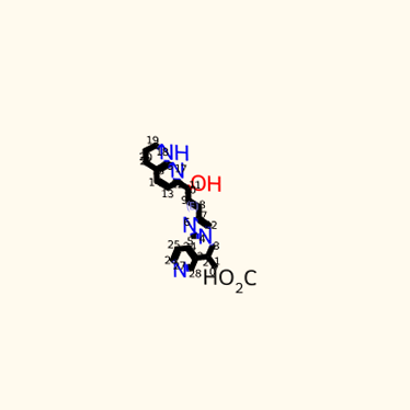 O=C(O)CC(Cn1cnc(/C=C/C(O)c2ccc3c(n2)NCCC3)c1)c1cccnc1